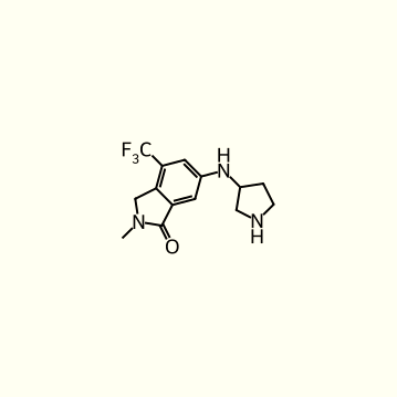 CN1Cc2c(cc(NC3CCNC3)cc2C(F)(F)F)C1=O